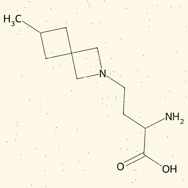 CC1CC2(C1)CN(CCC(N)C(=O)O)C2